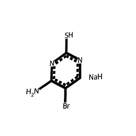 Nc1nc(S)ncc1Br.[NaH]